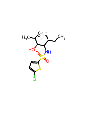 CC[C@H](C)C(NS(=O)(=O)c1ccc(Cl)s1)[C@@H](O)C(C)C